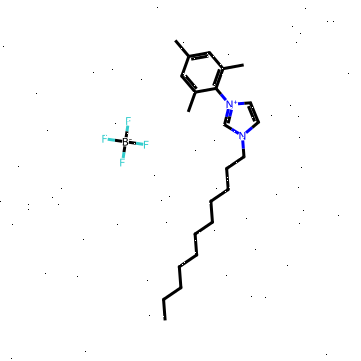 CCCCCCCCCCCn1cc[n+](-c2c(C)cc(C)cc2C)c1.F[B-](F)(F)F